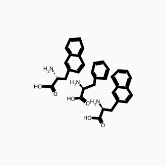 N[C@@H](Cc1ccc2ccccc2c1)C(=O)O.N[C@@H](Cc1ccccc1)C(=O)O.N[C@H](Cc1ccc2ccccc2c1)C(=O)O